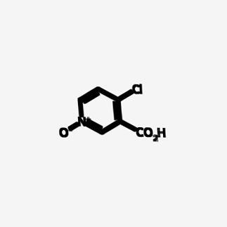 O=C(O)c1c[n+]([O-])ccc1Cl